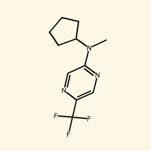 CN(c1cnc(C(F)(F)F)cn1)C1CCCC1